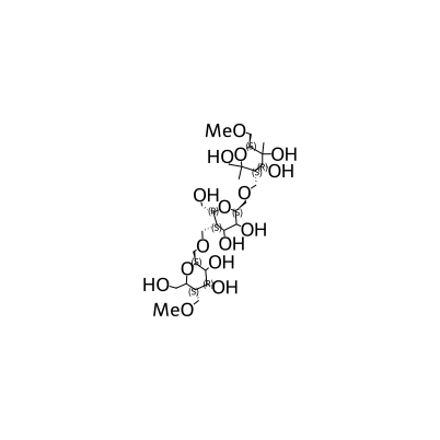 COC[C@@H]1C(CO)O[C@@H](COC[C@H]2C(O)C(O)[C@H](COC[C@H]3[C@@H](O)C(C)(O)[C@H](COC)OC3(C)CO)O[C@H]2CO)C(O)[C@@H]1O